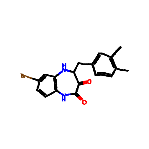 Cc1ccc(CC2Nc3cc(Br)ccc3NC(=O)C2=O)cc1C